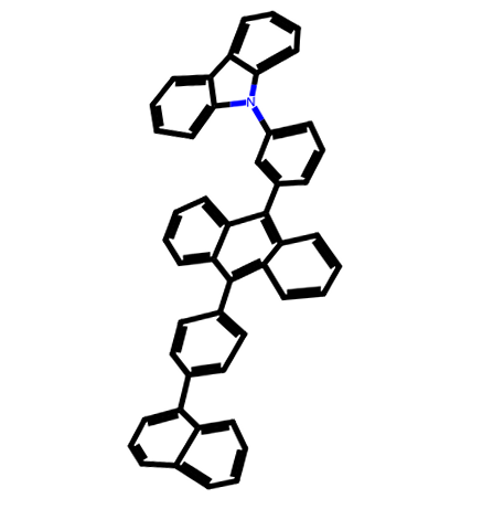 c1cc(-c2c3ccccc3c(-c3ccc(-c4cccc5ccccc45)cc3)c3ccccc23)cc(-n2c3ccccc3c3ccccc32)c1